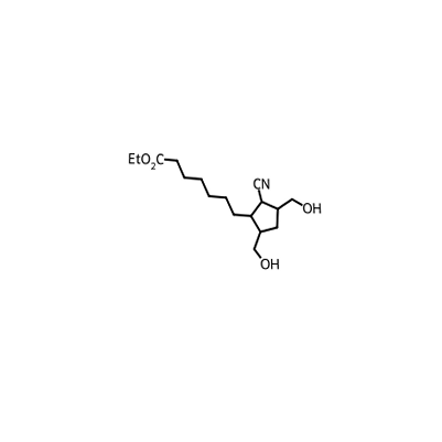 CCOC(=O)CCCCCCC1C(CO)CC(CO)C1C#N